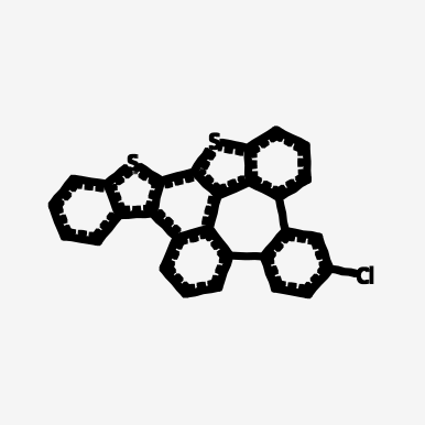 Clc1ccc2c(c1)-c1cccc3sc4c5sc6ccccc6c5c5cccc-2c5c4c13